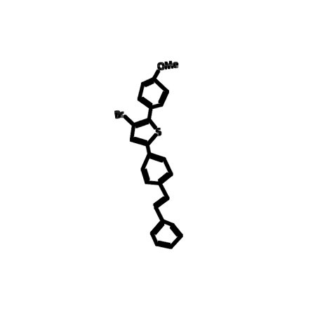 COc1ccc(-c2sc(-c3ccc(C=Cc4ccccc4)cc3)cc2Br)cc1